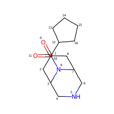 O=C1CC2CNCC(C1)N2C(=O)C1CCCC1